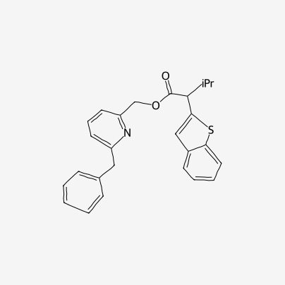 CC(C)C(C(=O)OCc1cccc(Cc2ccccc2)n1)c1cc2ccccc2s1